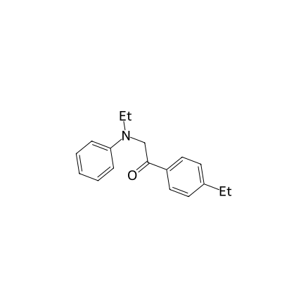 CCc1ccc(C(=O)CN(CC)c2ccccc2)cc1